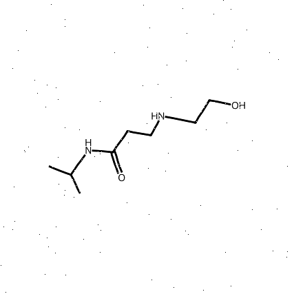 CC(C)NC(=O)CCNCCO